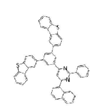 c1ccc(-c2nc(-c3cc(-c4ccc5sc6ccccc6c5c4)cc(-c4ccc5sc6ccccc6c5c4)c3)cc(-c3cccc4ccccc34)n2)cc1